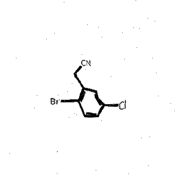 N#CCc1cc(Cl)ccc1Br